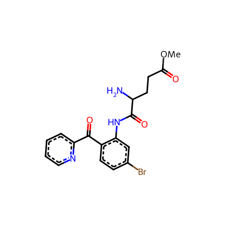 COC(=O)CCC(N)C(=O)Nc1cc(Br)ccc1C(=O)c1ccccn1